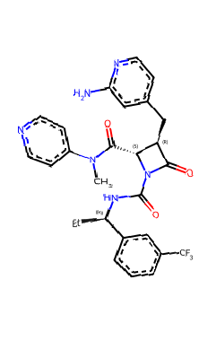 CC[C@@H](NC(=O)N1C(=O)[C@H](Cc2ccnc(N)c2)[C@H]1C(=O)N(C)c1ccncc1)c1cccc(C(F)(F)F)c1